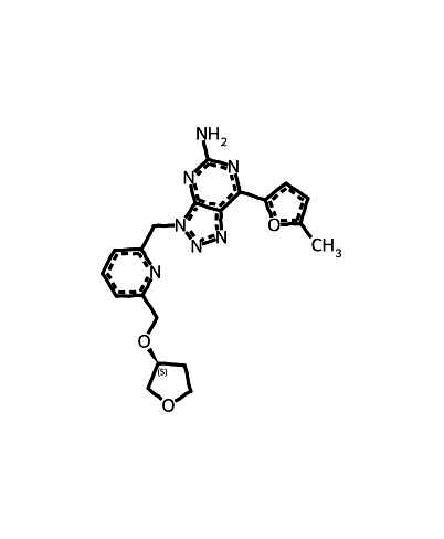 Cc1ccc(-c2nc(N)nc3c2nnn3Cc2cccc(CO[C@H]3CCOC3)n2)o1